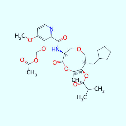 COc1ccnc(C(=O)N[C@H]2COC[C@H](CC3CCCC3)[C@@H](OC(=O)C(C)C)[C@H](C)OC2=O)c1OCOC(C)=O